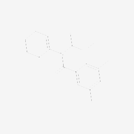 COC(C)N(C(=O)c1cc(C)cc(C)c1)C1=CCCCC1